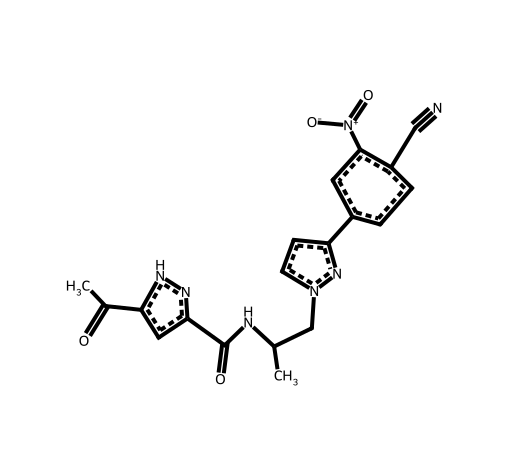 CC(=O)c1cc(C(=O)NC(C)Cn2ccc(-c3ccc(C#N)c([N+](=O)[O-])c3)n2)n[nH]1